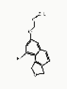 COCOc1cc(Br)c2c3c(ccc2c1)COC3